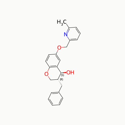 Cc1cccc(COc2ccc3c(c2)[C@@H](O)[C@H](Cc2ccccc2)CO3)n1